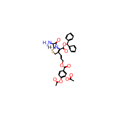 CC(=O)Oc1ccc(C(=O)OC/C=C/C2=C(C(=O)OC(c3ccccc3)c3ccccc3)N3C(=O)C(N)[C@@H]3SC2)cc1OC(C)=O